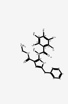 CCOC(=O)c1cc(Cc2ccccc2)sc1N(F)C(=O)c1c(F)c(F)c(F)c(F)c1F